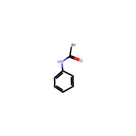 CC(C)C(=O)Nc1[c]cc[c]c1